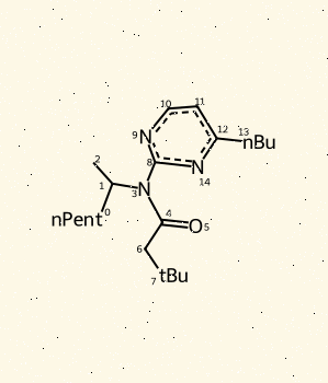 CCCCCC(C)N(C(=O)CC(C)(C)C)c1nccc(CCCC)n1